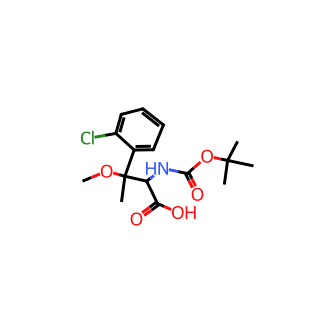 COC(C)(c1ccccc1Cl)C(NC(=O)OC(C)(C)C)C(=O)O